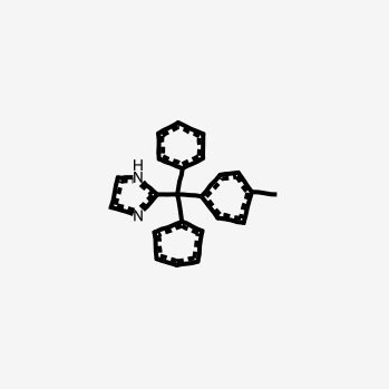 Cc1ccc(C(c2ccccc2)(c2ccccc2)c2ncc[nH]2)cc1